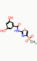 CS(=O)(=O)c1csc(NC(=O)c2cc(O)cc(O)c2)n1